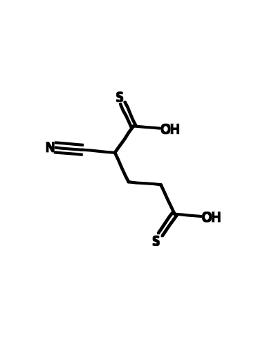 N#CC(CCC(O)=S)C(O)=S